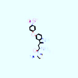 N#C[C@H]1CSCN1C(=O)[C@@H](N)Cc1c[nH]c2ccc(Oc3ccc([N+](=O)[O-])cc3)cc12